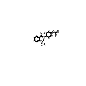 COc1ccccc1C(=N)Nc1ccc(OC(F)F)cc1